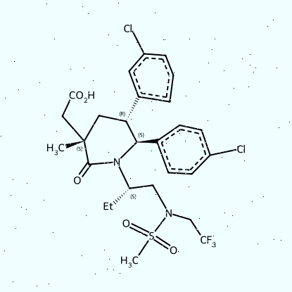 CC[C@@H](CN(CC(F)(F)F)S(C)(=O)=O)N1C(=O)[C@](C)(CC(=O)O)C[C@H](c2cccc(Cl)c2)[C@H]1c1ccc(Cl)cc1